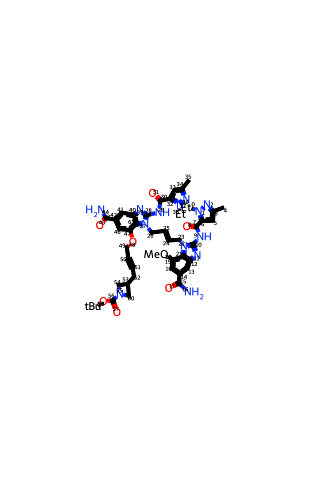 CCn1nc(C)cc1C(=O)Nc1nc2cc(C(N)=O)cc(OC)c2n1C/C=C/Cn1c(NC(=O)c2cc(C)nn2CC)nc2cc(C(N)=O)cc(OCC#CCC3CN(C(=O)OC(C)(C)C)C3)c21